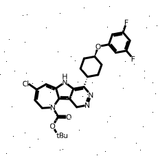 CC(C)(C)OC(=O)N1CC=C(Cl)C=c2[nH]c3c(c21)CN=NC=3[C@H]1CC[C@H](Oc2cc(F)cc(F)c2)CC1